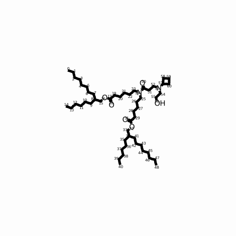 CCCCCCCCC(CCCCCC)COC(=O)CCCCCN(CCCCCC(=O)OCC(CCCCCC)CCCCCCCC)C(=O)CCN(CCO)C1CCC1